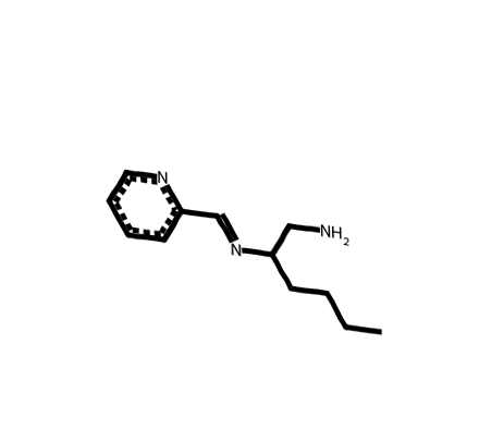 CCCCC(CN)N=Cc1ccccn1